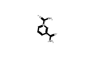 NC(=O)c1ccc[n+](C(N)=O)c1